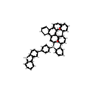 C1=Cc2c(c3cc(N(c4ccc(-c5ccc6sc7ccccc7c6c5)cc4)c4ccccc4-c4ccc(-c5ccccc5)cc4)ccc3c3ccccc23)CC1